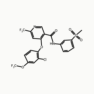 CS(=O)(=O)c1cccc(NC(=O)c2cnc(C(F)(F)F)cc2Oc2ccc(OC(F)(F)F)cc2Cl)c1